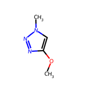 COc1cn(C)nn1